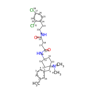 Cc1cccc(CC2(N(C)C)CCC(NC(=O)CCC(=O)NCCc3ccc(Cl)cc3Cl)CC2)c1